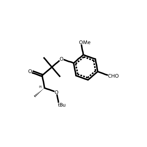 COc1cc(C=O)ccc1OC(C)(C)C(=O)[C@@H](C)OC(C)(C)C